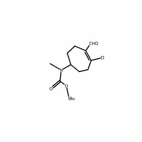 CN(C(=O)OC(C)(C)C)C1CCC(Cl)=C(C=O)CC1